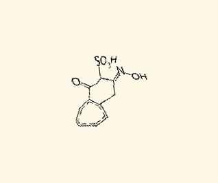 O=C1c2ccccc2CC(=NO)C1S(=O)(=O)O